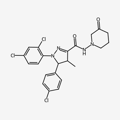 CC1C(C(=O)NN2CCCC(=O)C2)=NN(c2ccc(Cl)cc2Cl)C1c1ccc(Cl)cc1